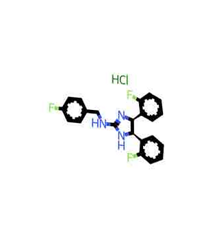 Cl.Fc1ccc(CNC2=N[C@@H](c3ccccc3F)[C@@H](c3ccccc3F)N2)cc1